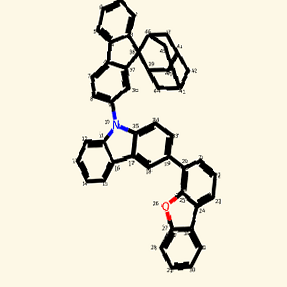 c1ccc2c(c1)-c1ccc(-n3c4ccccc4c4cc(-c5cccc6c5oc5ccccc56)ccc43)cc1C21C2CC3CC(C2)CC1C3